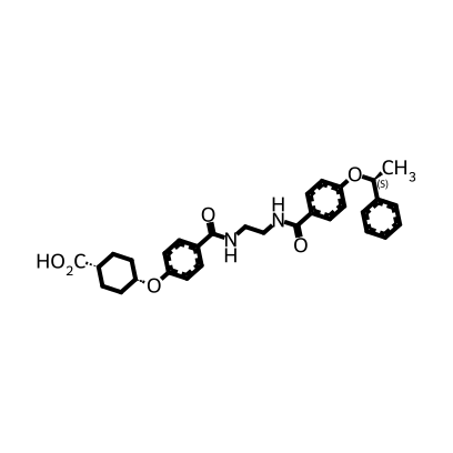 C[C@H](Oc1ccc(C(=O)NCCNC(=O)c2ccc(O[C@H]3CC[C@@H](C(=O)O)CC3)cc2)cc1)c1ccccc1